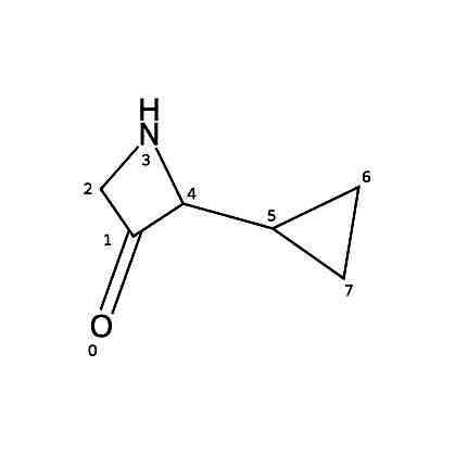 O=C1CNC1C1CC1